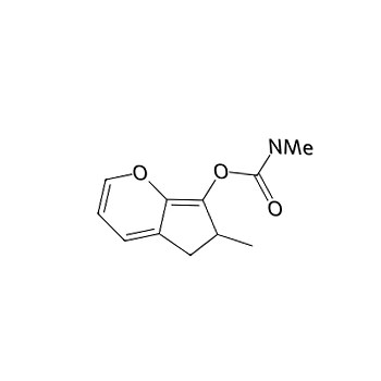 CNC(=O)OC1=C2OC=CC=C2CC1C